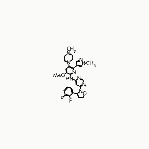 COc1cc(N2CCN(C)CC2)c(-c2cnn(C)c2)nc1Nc1cc(N2OCCC2c2cccc(F)c2F)ncn1